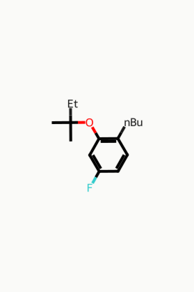 CCCCc1ccc(F)cc1OC(C)(C)CC